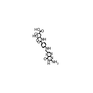 Nc1nc2ncc(CNc3ccc(C(=O)NC(CC(Cl)C(=O)O)C(=O)O)cc3)nc2c(=O)[nH]1